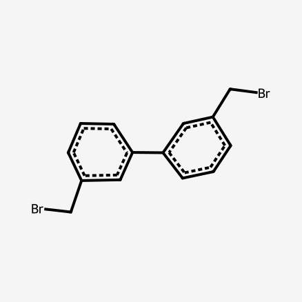 BrCc1cccc(-c2cccc(CBr)c2)c1